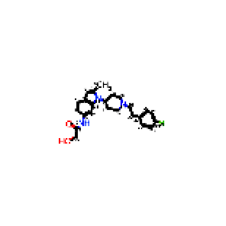 Cc1cc2ccc(NC(=O)CO)cc2n1C1CCN(CCc2ccc(F)cc2)CC1